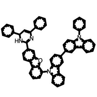 C1=C(c2ccccc2)N=C(c2ccc3c(c2)oc2c(-n4c5ccccc5c5cc(-c6ccc7c(c6)c6ccccc6n7-c6ccccc6)ccc54)cccc23)NC1c1ccccc1